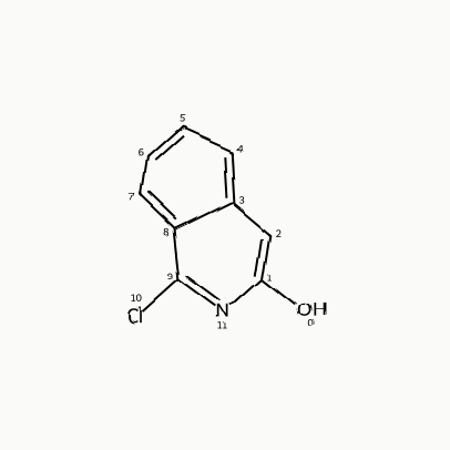 Oc1cc2ccccc2c(Cl)n1